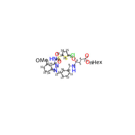 CCCCCCOC(=O)CCC(=O)NCc1cccc(Cn2nc(NS(=O)(=O)c3ccc(Cl)s3)c3c(OC)cccc32)c1